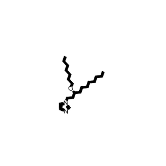 CCCCCCCCC(CCn1ccnc1)OCCCCCCC